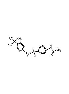 CC(=O)Nc1ccc(S(=O)(=O)N2CC2c2ccc(C(C)(C)C)cc2)cc1